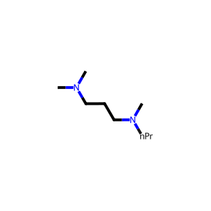 CCCN(C)CCCN(C)C